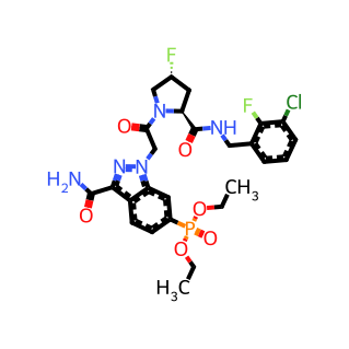 CCOP(=O)(OCC)c1ccc2c(C(N)=O)nn(CC(=O)N3C[C@H](F)C[C@H]3C(=O)NCc3cccc(Cl)c3F)c2c1